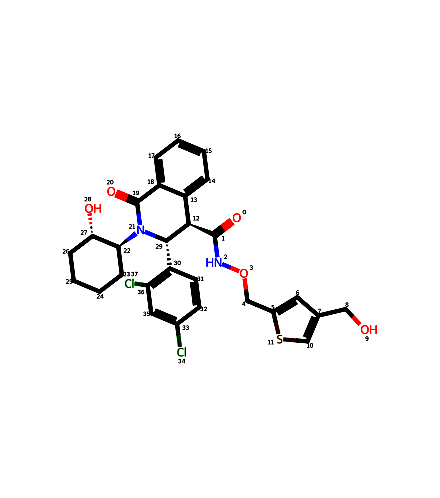 O=C(NOCc1cc(CO)cs1)[C@@H]1c2ccccc2C(=O)N([C@H]2CCCC[C@@H]2O)[C@H]1c1ccc(Cl)cc1Cl